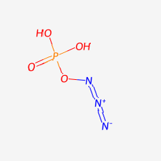 [N-]=[N+]=NOP(=O)(O)O